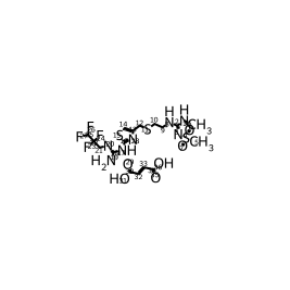 CNC(=NS(C)(=O)=O)NCCSCc1csc(NC(N)=NCC(F)(F)C(F)F)n1.O=C(O)C=CC(=O)O